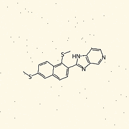 CSc1ccc2c(SC)c(-c3nc4cnccc4[nH]3)ccc2c1